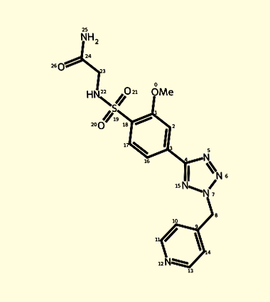 COc1cc(-c2nnn(Cc3ccncc3)n2)ccc1S(=O)(=O)NCC(N)=O